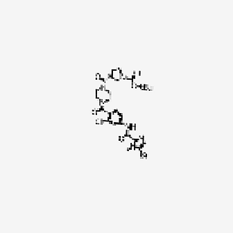 Cn1c(Br)cnc1C(=O)Nc1ccc(C(=O)N2CCN(C(=O)[C@@H]3CCN(C(=O)OC(C)(C)C)C3)CC2)c(Cl)c1